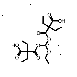 CCOC(OC(=O)C(CC)(CC)C(=O)O)OC(=O)C(CC)(CC)C(=O)O